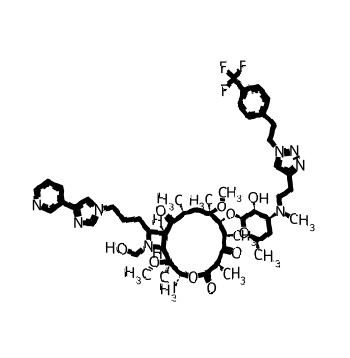 CO[C@@]1(C)[C@@H]2[C@H](C(=O)[C@H](C)C[C@@](C)(OC)[C@H](O[C@@H]3O[C@H](C)C[C@H](N(C)CCc4cn(CCc5ccc(C(F)(F)F)cc5)nn4)[C@H]3O)[C@@H](C)C(=O)[C@@H](C)C(=O)O[C@@H]1I)C(CCCn1cnc(-c3cccnc3)c1)N2CO